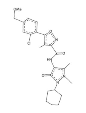 COCc1ccc(-c2onc(C(=O)Nc3c(C)n(C)n(C4CCCCC4)c3=O)c2C)c(Cl)c1